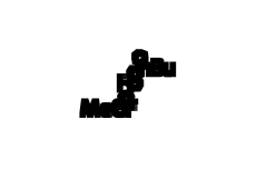 CCCCC1(c2ccc3c(F)c(-c4ccc(OC)c(F)c4)ccc3c2)CCCCC1